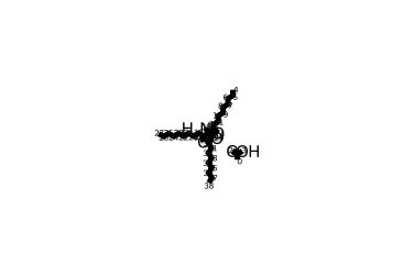 CC(=O)O.CCCCCCCCCC(=O)C(N)(C(=O)CCCCCCCCC)C(=O)CCCCCCCCC